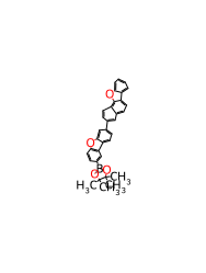 CC1(C)OB(c2ccc3oc4cc(-c5ccc6c(ccc7c8ccccc8oc67)c5)ccc4c3c2)OC1(C)C